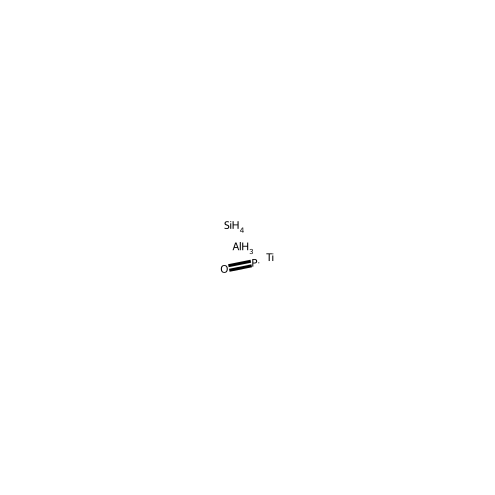 O=[P].[AlH3].[SiH4].[Ti]